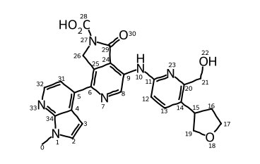 Cn1ccc2c(-c3ncc(Nc4ccc(C5CCOC5)c(CO)n4)c4c3CN(C(=O)O)C4=O)ccnc21